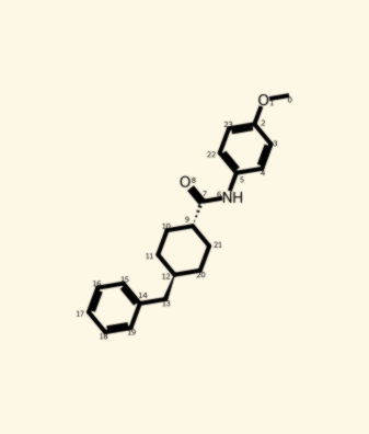 COc1ccc(NC(=O)[C@H]2CC[C@H](Cc3ccccc3)CC2)cc1